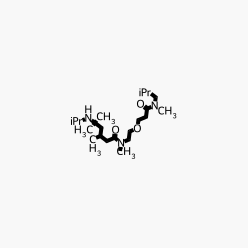 CC(C)CN(C)C(=O)CCOCCN(C)C(=O)CC(C)CC(C)(C)NC(C)C